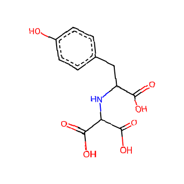 O=C(O)C(Cc1ccc(O)cc1)NC(C(=O)O)C(=O)O